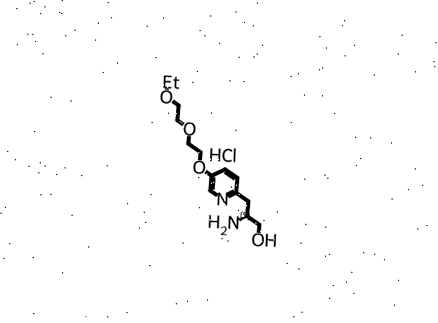 CCOCCOCCOc1ccc(C[C@H](N)CO)nc1.Cl